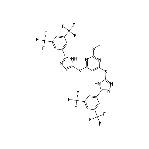 CSc1nc(Sc2nnc(-c3cc(C(F)(F)F)cc(C(F)(F)F)c3)[nH]2)cc(Sc2nnc(-c3cc(C(F)(F)F)cc(C(F)(F)F)c3)[nH]2)n1